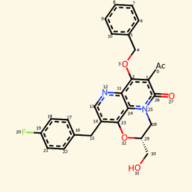 CC(=O)c1c(OCc2ccccc2)c2ncc(Cc3ccc(F)cc3)c3c2n(c1=O)C[C@H](CO)O3